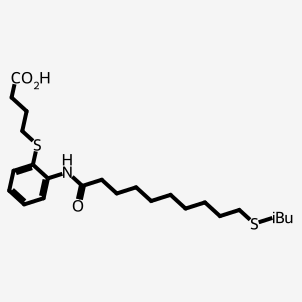 CCC(C)SCCCCCCCCCC(=O)Nc1ccccc1SCCCC(=O)O